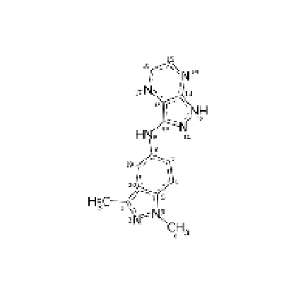 Cc1nn(C)c2ccc(Nc3n[nH]c4nccnc34)cc12